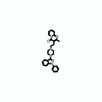 Cc1nc2ccccn2c(=O)c1CCN1CCN(c2nn(-c3ccccc3)c3ccccc23)CC1